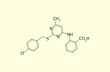 Cc1cc(Nc2ccccc2C(=O)O)nc(SCc2ccc(Cl)cc2)n1